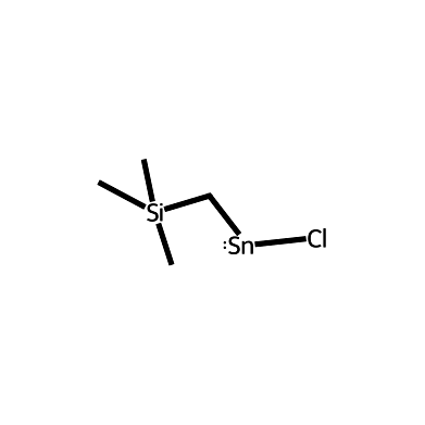 C[Si](C)(C)[CH2][Sn][Cl]